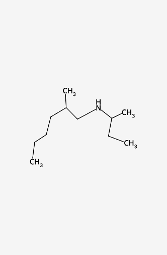 CCCCC(C)CNC(C)CC